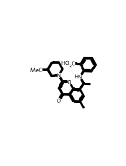 COC1CCCN(c2cc(=O)c3cc(C)cc(C(C)Nc4ccccc4C(=O)O)c3o2)C1